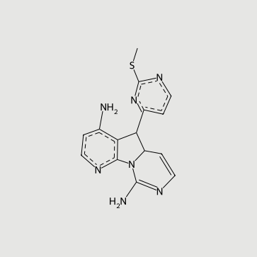 CSc1nccc(C2c3c(N)ccnc3N3C(N)=NC=CC23)n1